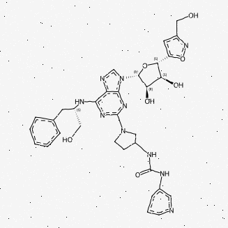 O=C(Nc1cccnc1)NC1CCN(c2nc(N[C@H](CO)Cc3ccccc3)c3ncn([C@@H]4O[C@H](c5cc(CO)no5)[C@@H](O)[C@H]4O)c3n2)C1